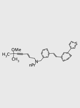 CCCN(CC=CC#CC(C)(C)OC)Cc1cccc(/C=C/c2cccc(-c3ccsc3)c2)c1